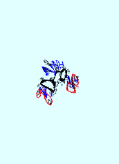 O=[N+]([O-])c1ccc(-c2nc[nH]c2-c2ccc([N+](=O)[O-])cc2)cc1